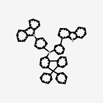 c1ccc(C2(c3ccccc3)c3ccccc3-c3c(N(c4ccc(-n5c6ccccc6c6ccccc65)cc4)c4cccc(-c5cccc6c5sc5ccccc56)c4)cccc32)cc1